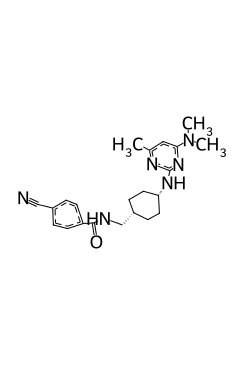 Cc1cc(N(C)C)nc(N[C@H]2CC[C@@H](CNC(=O)c3ccc(C#N)cc3)CC2)n1